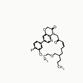 CCCC(CC/C=C\C(=O)CN1C(=O)COc2cc(-c3ccc(F)c(Cl)c3)cnc21)COCC